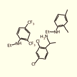 CC(N)c1ccc(Cl)cc1Cl.CCNc1ccc(C(F)(F)F)cc1C(F)(F)F.CCNc1ccc(C)cc1C